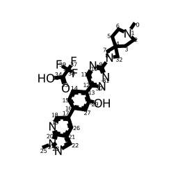 CN1CCC2(CC1)CN(c1ncc(-c3ccc(-c4cnc5c(cnn5C)c4)cc3O)nn1)C2.O=C(O)C(F)(F)F